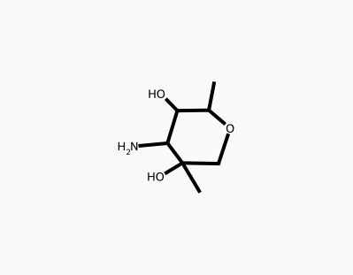 CC1OCC(C)(O)C(N)C1O